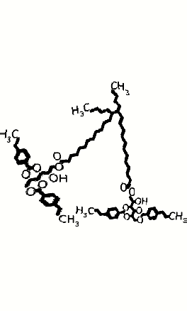 CCCCCC(CCCCCCCCCCCC(=O)OCC(O)C1OC(c2ccc(CCC)cc2)OC2COC(c3ccc(CCC)cc3)OC21)C(CCCCC)CCCCCCCCCCCC(=O)OCC(O)C1OC(c2ccc(CCC)cc2)OC2COC(c3ccc(CCC)cc3)OC21